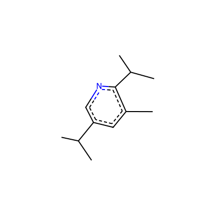 Cc1cc(C(C)C)cnc1C(C)C